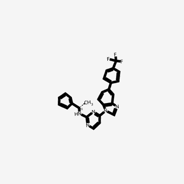 C[C@H](Nc1nccc(-n2cnc3cc(-c4ccc(C(F)(F)F)cc4)ccc32)n1)c1ccccc1